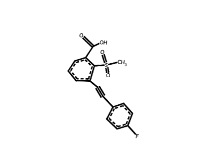 CS(=O)(=O)c1c(C#Cc2ccc(F)cc2)cccc1C(=O)O